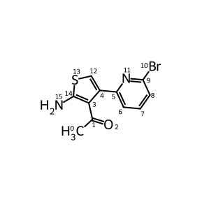 CC(=O)c1c(-c2cccc(Br)n2)csc1N